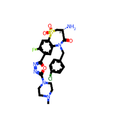 CN1CCN(c2nnc(-c3cc4c(cc3F)S(=O)(=O)C[C@H](N)C(=O)N4Cc3ccc(Cl)cc3)o2)CC1